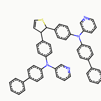 C1=CC(c2ccc(N(c3ccc(-c4ccccc4)cc3)c3cccnc3)cc2)C(c2ccc(N(c3ccc(-c4ccccc4)cc3)c3cccnc3)cc2)S1